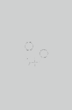 CC(C)(Cc1ccccc1)C(=O)C(C)(C)Cc1ccccc1